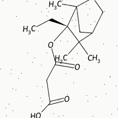 CC[C@@]1(OC(=O)CC(=O)O)C2(C)CCC(C2)C1(C)C